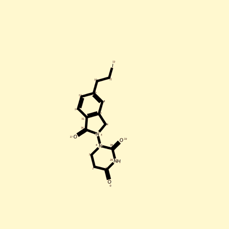 O=C1CCN(N2Cc3cc(CCI)ccc3C2=O)C(=O)N1